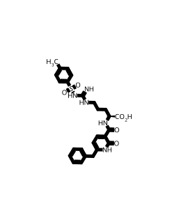 Cc1ccc(S(=O)(=O)NC(=N)NCCC[C@H](NC(=O)c2ccc(Cc3ccccc3)[nH]c2=O)C(=O)O)cc1